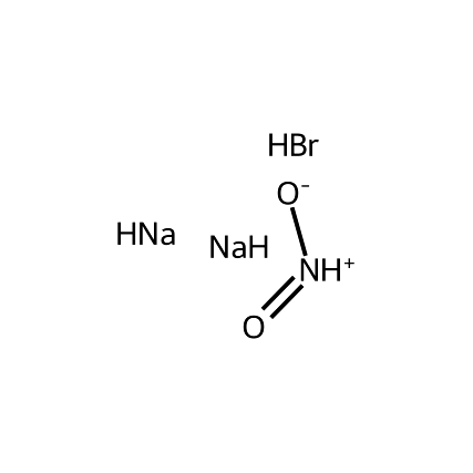 Br.O=[NH+][O-].[NaH].[NaH]